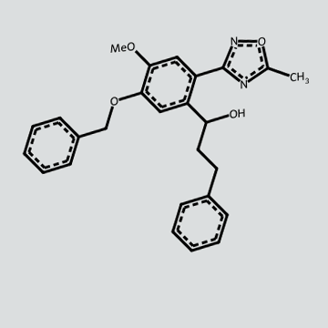 COc1cc(-c2noc(C)n2)c(C(O)CCc2ccccc2)cc1OCc1ccccc1